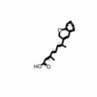 CC(/C=C/C=C(\C)C1=Cc2ccccc2OC1)=C\C(=O)O